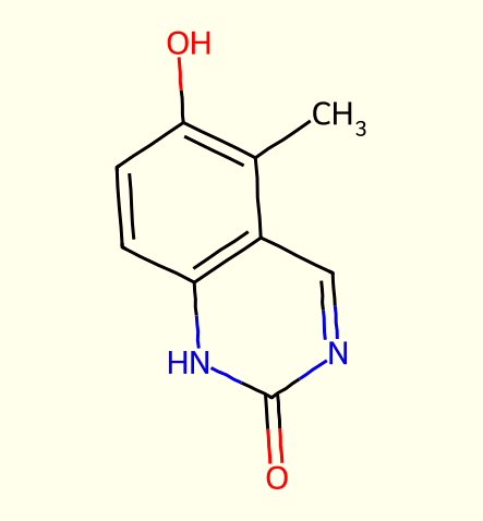 Cc1c(O)ccc2[nH]c(=O)ncc12